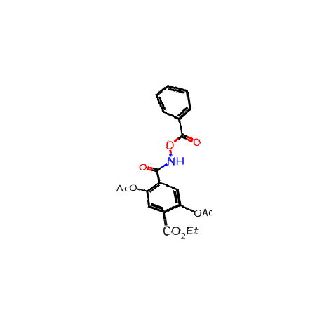 CCOC(=O)c1cc(OC(C)=O)c(C(=O)NOC(=O)c2ccccc2)cc1OC(C)=O